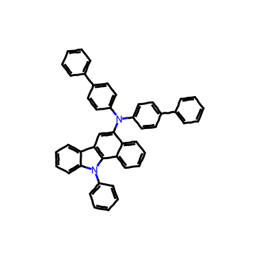 c1ccc(-c2ccc(N(c3ccc(-c4ccccc4)cc3)c3cc4c5ccccc5n(-c5ccccc5)c4c4ccccc34)cc2)cc1